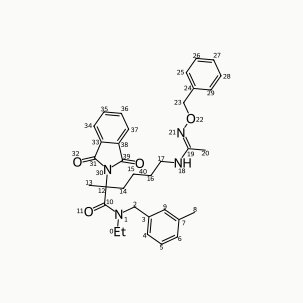 CCN(Cc1cccc(C)c1)C(=O)C(C)(CCCCNC(C)=NOCc1ccccc1)N1C(=O)c2ccccc2C1=O